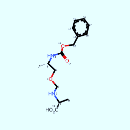 C[C@H](NCOC[C@H](C)NC(=O)OCc1ccccc1)C(=O)O